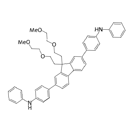 COCCOCCC1(CCOCCOC)c2cc(-c3ccc(Nc4ccccc4)cc3)ccc2-c2ccc(-c3ccc(Nc4ccccc4)cc3)cc21